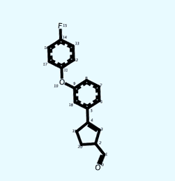 O=CC1C=C(c2cccc(Oc3ccc(F)cc3)c2)CC1